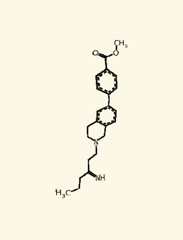 CCCC(=N)CCN1CCc2cc(-c3ccc(C(=O)OC)cc3)ccc2C1